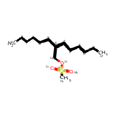 CCCCCCC(CCCCCC)COS(C)(=O)=O